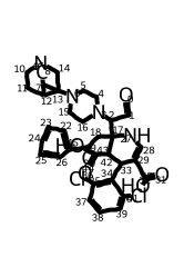 O=CC(N1CCN(C2CN3CCC2CC3)CC1)C1(CC(=O)c2ccccc2)NC=C(C(=O)O)C(c2c(Cl)cccc2Cl)C1C(=O)O